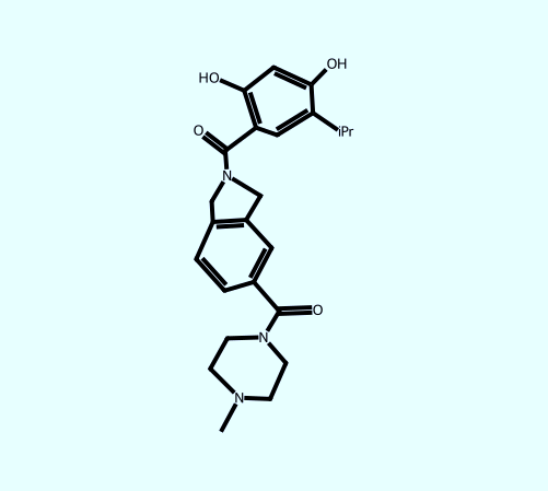 CC(C)c1cc(C(=O)N2Cc3ccc(C(=O)N4CCN(C)CC4)cc3C2)c(O)cc1O